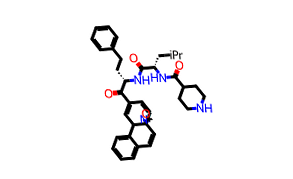 CC(C)C[C@H](NC(=O)C1CCNCC1)C(=O)N[C@@H](CCc1ccccc1)C(=O)C1=CC2c3ccccc3C=CC23N=COC3=C1